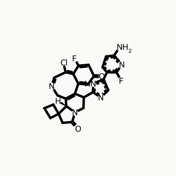 Nc1ccc(-c2cnc(C3CN4C(=O)CC5(CCC5)[C@@H]4C4=C3C3=CC(=O)C=C(F)C3=C(Cl)C=NC4)[nH]2)c(F)n1